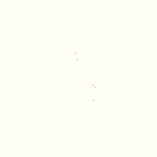 CCC(C)(CCOC(C)(C)C(=O)CCC(=O)O)OC(=O)CCC(=O)O